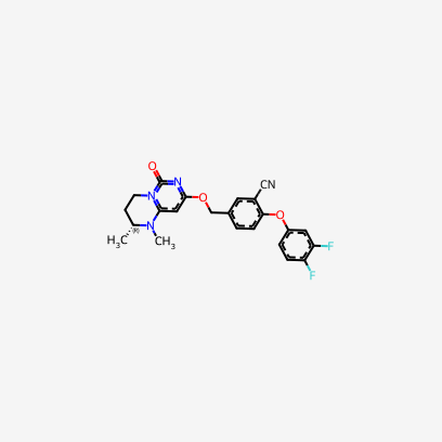 C[C@@H]1CCn2c(cc(OCc3ccc(Oc4ccc(F)c(F)c4)c(C#N)c3)nc2=O)N1C